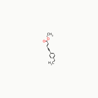 C=Cc1ccc(C#CC=CC(=O)OCC)cc1